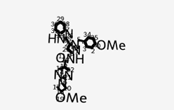 COc1ccc(Cn2nc(NC(=O)c3cnc(N4CC(OC)C4)nc3)cc2-c2nc3ccccc3[nH]2)cc1